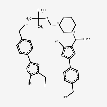 CC(C)Cc1ccc(-c2nc(CI)c(C(C)C)o2)cc1.COC(c1nc(-c2ccc(CC(C)C)cc2)oc1C(C)C)[C@H]1CCC[C@@H](COC(C)(C)C(=O)O)C1